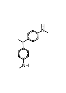 CNc1ccc(C(C)c2ccc(NC)cc2)cc1